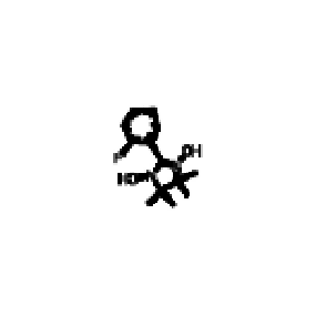 CC1(C)N(O)C(c2ccccc2F)N(O)C1(C)C